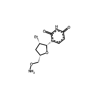 CC[C@H]1C[C@@H](CON)O[C@H]1n1ccc(=O)[nH]c1=O